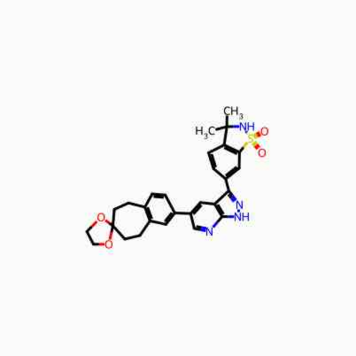 CC1(C)NS(=O)(=O)c2cc(-c3n[nH]c4ncc(-c5ccc6c(c5)CCC5(CC6)OCCO5)cc34)ccc21